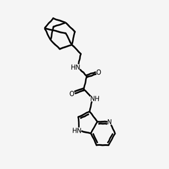 O=C(NCC12CC3CC(C1)C(C3)C2)C(=O)Nc1c[nH]c2cccnc12